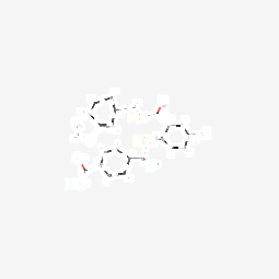 O=C(O)c1ccc(C(=O)Nc2ccc(Cl)cc2C(=O)NCc2ccc3c(c2)OCO3)cc1